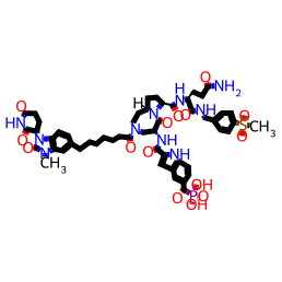 Cn1c(=O)n(C2CCC(=O)NC2=O)c2ccc(CCCCCCC(=O)N3CC[C@H]4CC[C@@H](C(=O)N[C@@H](CCC(N)=O)C(=O)NCc5ccc(S(C)(=O)=O)cc5)N4C(=O)[C@@H](NC(=O)c4cc5cc(C(=O)P(=O)(O)O)ccc5[nH]4)C3)cc21